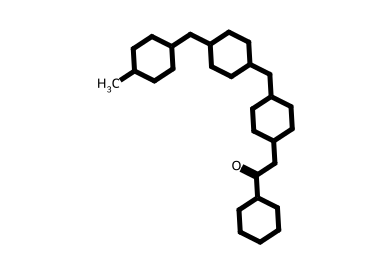 CC1CCC(CC2CCC(CC3CCC(CC(=O)C4CCCCC4)CC3)CC2)CC1